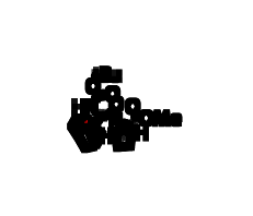 COC(=O)[C@@H]1[C@H]2CC[C@H](C2)N1C(=O)[C@@H](NC(=O)OC(C)(C)C)C12CC3CC(CC(C3)C1)C2